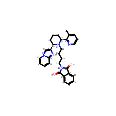 Cc1cccnc1[C@@H]1CCC[C@H](c2cn3ccccc3n2)N1CCCCN1C(=O)c2ccccc2C1=O